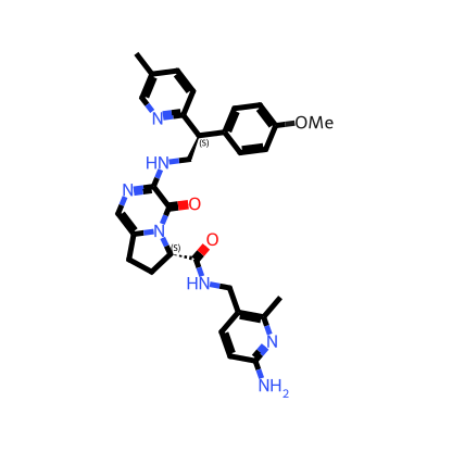 COc1ccc([C@@H](CNc2ncc3n(c2=O)[C@H](C(=O)NCc2ccc(N)nc2C)CC3)c2ccc(C)cn2)cc1